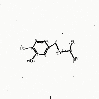 CCCC(CC)NCc1cc(O)c(O)cn1